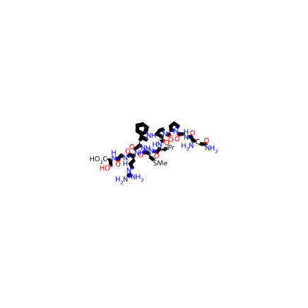 CSCC[C@H](NC(=O)[C@H](CC(C)C)NC(=O)[C@@H]1CCCN1C(=O)[C@@H]1CCCN1C(=O)CNC(=O)[C@@H](N)CCC(N)=O)C(=O)N[C@@H](Cc1c[nH]c2ccccc12)C(=O)N[C@@H](CCCN=C(N)N)C(=O)NCC(=O)N[C@@H](CO)C(=O)O